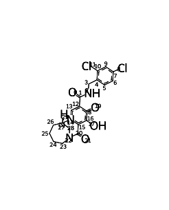 O=C(NCc1ccc(Cl)cc1Cl)c1cn2c(c(O)c1=O)C(=O)N1CCCC[C@H]2C1